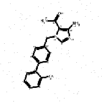 N#Cc1ccccc1-c1ccc(Cn2cnc(N)c2C(N)=O)cc1